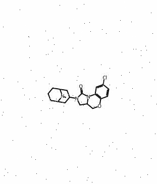 CN1C2CCCC1CC(N1CC3COc4ccc(Cl)cc4N3C1=O)C2